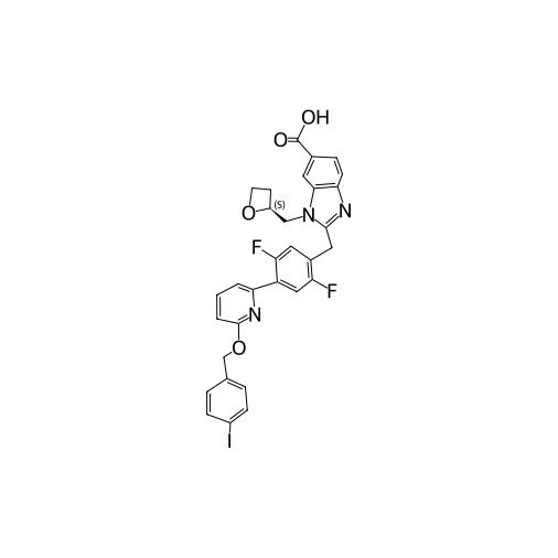 O=C(O)c1ccc2nc(Cc3cc(F)c(-c4cccc(OCc5ccc(I)cc5)n4)cc3F)n(C[C@@H]3CCO3)c2c1